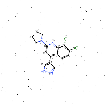 Clc1ccc2c(-c3cn[nH]c3)cc(N3CCCC3)nc2c1Cl